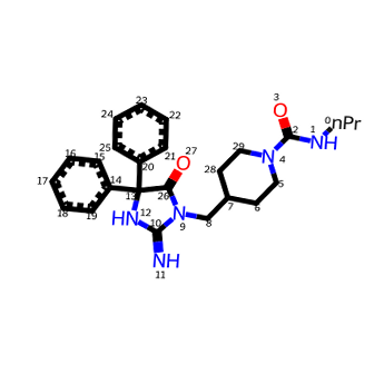 CCCNC(=O)N1CCC(CN2C(=N)NC(c3ccccc3)(c3ccccc3)C2=O)CC1